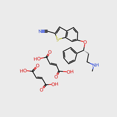 CNCC[C@@H](Oc1ccc2cc(C#N)sc2c1)c1ccccc1.O=C(O)C=CC(=O)O.O=C(O)C=CC(=O)O